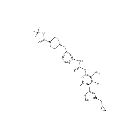 CC(C)(C)OC(=O)N1CCN(Cc2ccnc(NC(=S)Nc3cc(F)c(/C(C=N)=C/NCC4CC4)c(F)c3N)c2)CC1